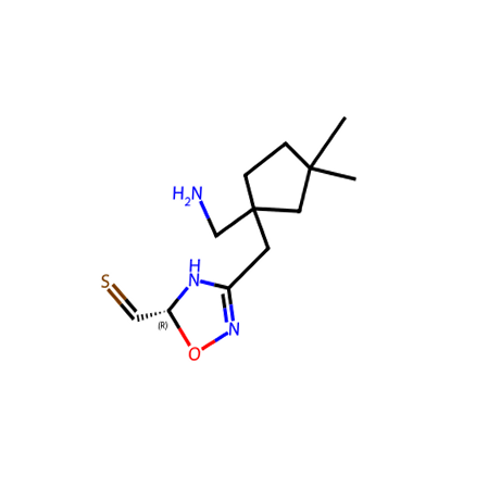 CC1(C)CCC(CN)(CC2=NO[C@H](C=S)N2)C1